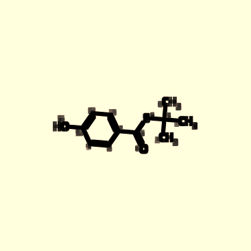 CC(C)(C)SC(=O)c1ccc(O)cc1